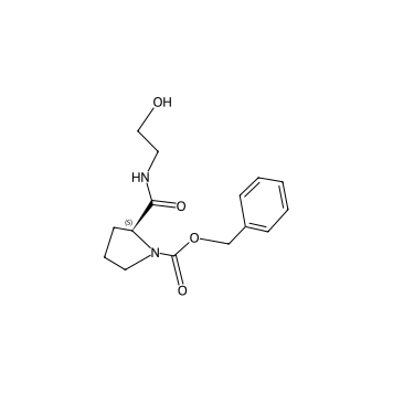 O=C(NCCO)[C@@H]1CCCN1C(=O)OCc1ccccc1